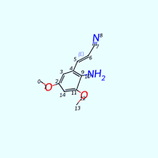 COc1cc(/C=C/C#N)c(N)c(OC)c1